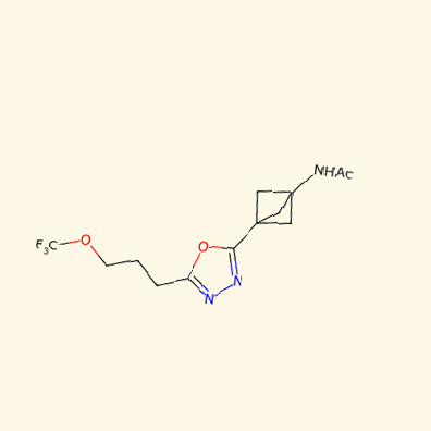 CC(=O)NC12CC(c3nnc(CCCOC(F)(F)F)o3)(C1)C2